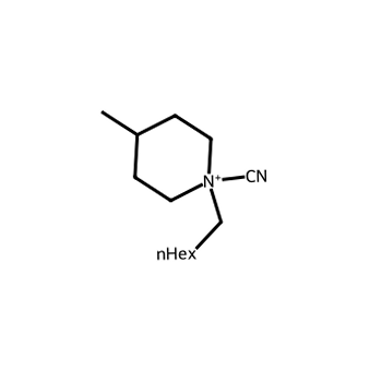 CCCCCCC[N+]1(C#N)CCC(C)CC1